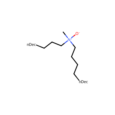 CCCCCCCCCCCCCC[N+](C)([O-])CCCCCCCCCCCCC